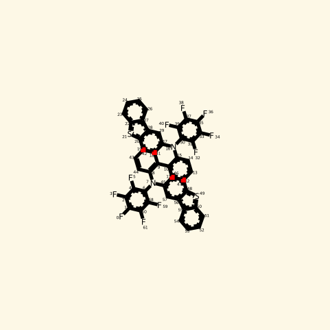 Fc1c(F)c(F)c(N(C2=C(c3ccccc3N(c3ccc4sc5ccccc5c4c3)c3c(F)c(F)c(F)c(F)c3F)CCC=C2)c2ccc3sc4ccccc4c3c2)c(F)c1F